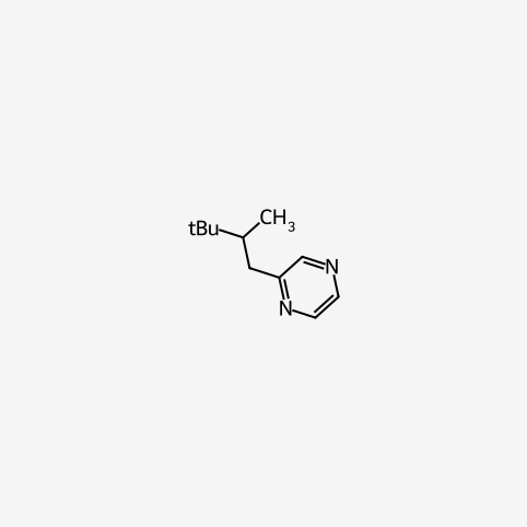 CC(Cc1cnccn1)C(C)(C)C